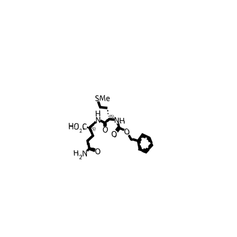 CSCC[C@H](NC(=O)OCc1ccccc1)C(=O)N[C@@H](CCC(N)=O)C(=O)O